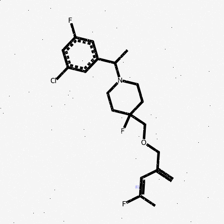 C=C(/C=C(\C)F)COCC1(F)CCN(C(C)c2cc(F)cc(Cl)c2)CC1